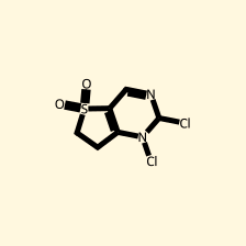 O=S1(=O)CCC2=C1C=NC(Cl)N2Cl